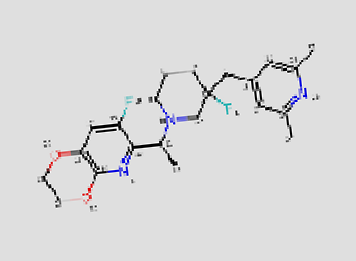 Cc1cc(CC2(F)CCCN([C@@H](C)c3nc4c(cc3F)OCCO4)C2)cc(C)n1